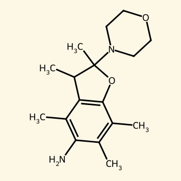 Cc1c(C)c2c(c(C)c1N)C(C)C(C)(N1CCOCC1)O2